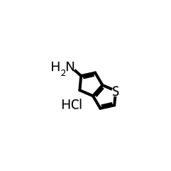 Cl.NC1=Cc2sccc2C1